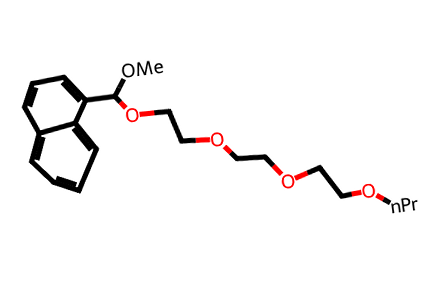 CCCOCCOCCOCCOC(OC)c1cccc2ccccc12